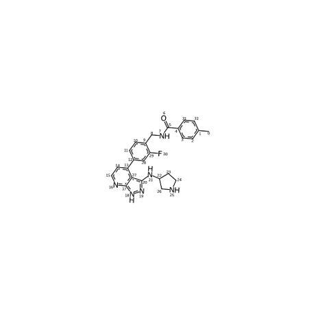 Cc1ccc(C(=O)NCc2ccc(-c3ccnc4[nH]nc(NC5CCNC5)c34)cc2F)cc1